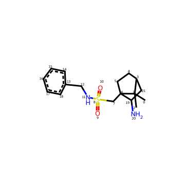 CC1(C)C2CCC1(CS(=O)(=O)NCc1ccccc1)C(N)C2